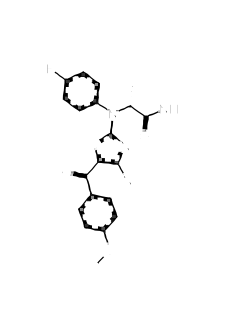 COc1ccc(C(=O)c2sc(N(c3ccc(F)cc3)[C@H](C)C(N)=O)nc2N)cc1